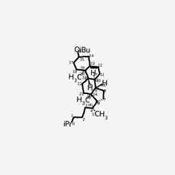 CC(C)CCC[C@@H](C)[C@H]1CC[C@H]2[C@@H]3CC=C4CC(OCC(C)C)CC[C@]4(C)[C@H]3CC[C@]12C